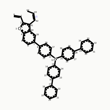 C=Cc1oc2ccc(-c3ccc(N(c4ccc(-c5ccccc5)cc4)c4ccc(-c5ccccc5)cc4)cc3)cc2c1/C=C\C